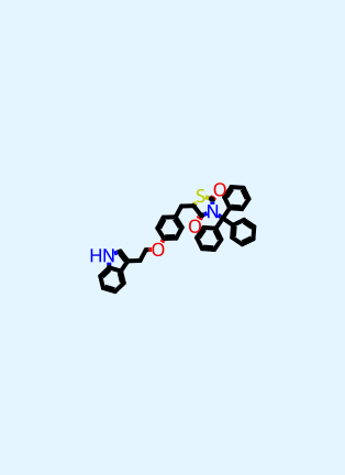 O=C1SC(Cc2ccc(OCCc3c[nH]c4ccccc34)cc2)C(=O)N1C(c1ccccc1)(c1ccccc1)c1ccccc1